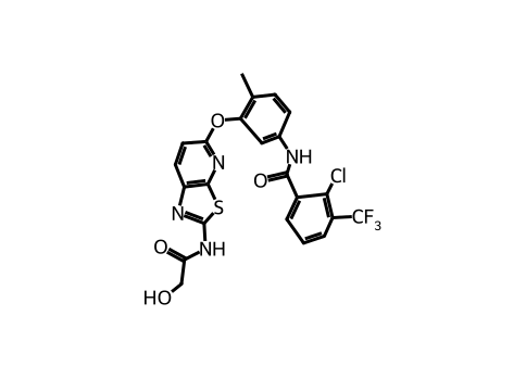 Cc1ccc(NC(=O)c2cccc(C(F)(F)F)c2Cl)cc1Oc1ccc2nc(NC(=O)CO)sc2n1